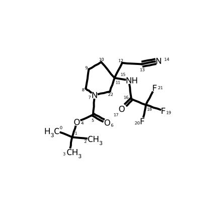 CC(C)(C)OC(=O)N1CCCC(CC#N)(NC(=O)C(F)(F)F)C1